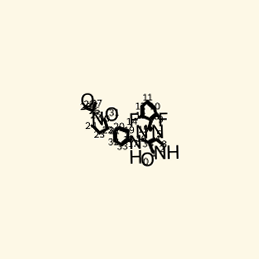 O=C1NCc2nc(-c3c(F)cccc3F)nc(Nc3ccc([C@@H]4CCN(C5COC5)C4=O)cc3)c21